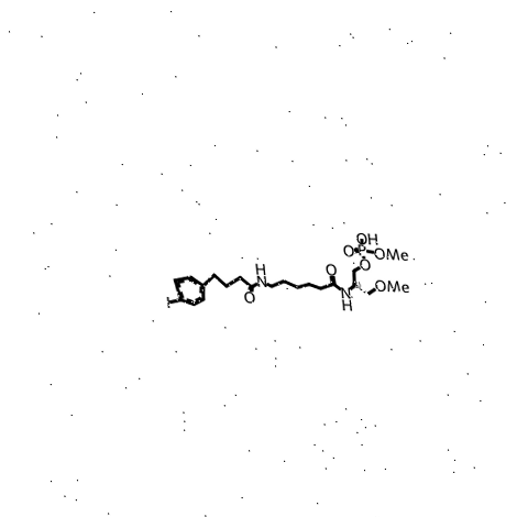 COC[C@@H](COP(=O)(O)OC)NC(=O)CCCCCNC(=O)CCCc1ccc(I)cc1